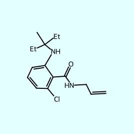 C=CCNC(=O)c1c(Cl)cccc1NC(C)(CC)CC